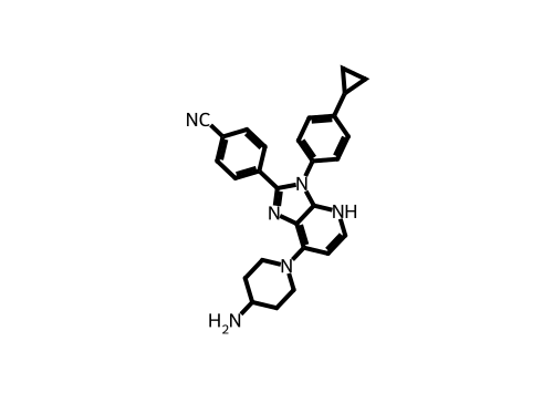 N#Cc1ccc(C2=NC3=C(N4CCC(N)CC4)C=CNC3N2c2ccc(C3CC3)cc2)cc1